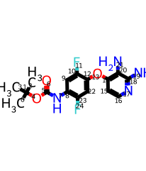 CC(C)(C)OC(=O)Nc1cc(F)c(Oc2ccnc(N)c2N)cc1F